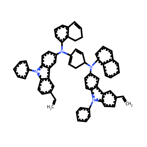 C=Cc1ccc2c(c1)c1cc(N(C3=CCC(N(c4ccc5c(c4)c4cc(C=C)ccc4n5-c4ccccc4)c4cccc5ccccc45)C=C3)c3cccc4c3CCC=C4)ccc1n2-c1ccccc1